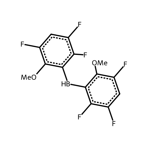 COc1c(F)cc(F)c(F)c1Bc1c(F)c(F)cc(F)c1OC